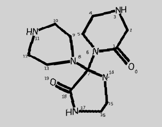 O=C1CNCCN1C1(N2CCNCC2)[N]CCNC1=O